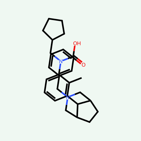 Cc1c(C2C3CCC2CN(Cc2ccccc2)C3)cccc1N(CC1CCCC1)C(=O)O